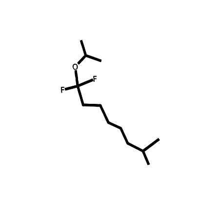 CC(C)CCCCCC(F)(F)OC(C)C